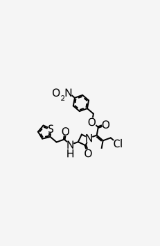 CC(CCl)=C(C(=O)OCc1ccc([N+](=O)[O-])cc1)N1CC(NC(=O)Cc2cccs2)C1=O